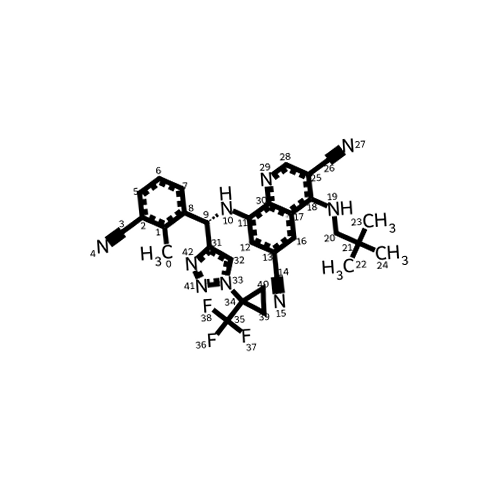 Cc1c(C#N)cccc1[C@H](Nc1cc(C#N)cc2c(NCC(C)(C)C)c(C#N)cnc12)c1cn(C2(C(F)(F)F)CC2)nn1